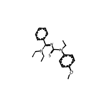 CCN(CC)C(=NC(=S)N(CC)c1ccc(OC)cc1)c1ccccc1